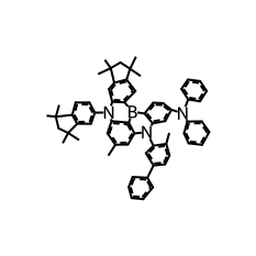 Cc1cc2c3c(c1)N(c1cc(-c4ccccc4)ccc1C)c1cc(N(c4ccccc4)c4ccccc4)ccc1B3c1cc3c(cc1N2c1ccc2c(c1)C(C)(C)CC2(C)C)C(C)(C)CC3(C)C